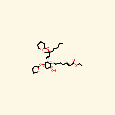 CCCCCC(C)(/C=C/[C@@H]1[C@@H](CCCC/C=C/C(=O)OCC)[C@@H](O)C[C@H]1OC1CCCCO1)OC1CCCCO1